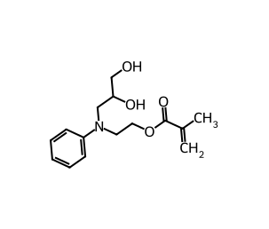 C=C(C)C(=O)OCCN(CC(O)CO)c1ccccc1